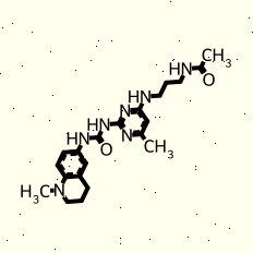 CC(=O)NCCCNc1cc(C)nc(NC(=O)Nc2ccc3c(c2)CCCN3C)n1